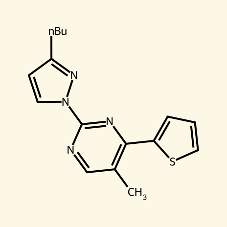 CCCCc1ccn(-c2ncc(C)c(-c3cccs3)n2)n1